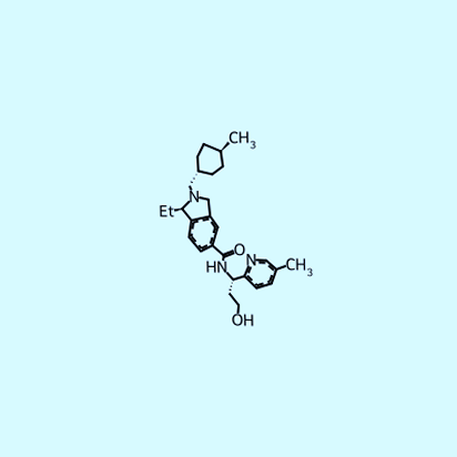 CC[C@@H]1c2ccc(C(=O)N[C@@H](CCO)c3ccc(C)cn3)cc2CN1C[C@H]1CC[C@H](C)CC1